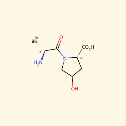 CC[C@H](C)[C@H](N)C(=O)N1CC(O)C[C@H]1C(=O)O